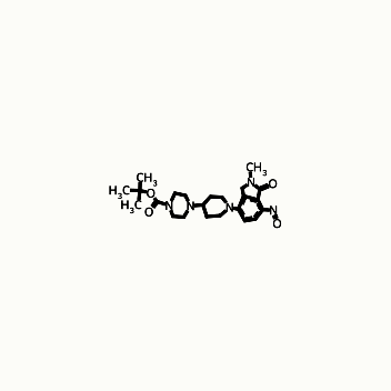 CN1Cc2c(N3CCC(N4CCN(C(=O)OC(C)(C)C)CC4)CC3)ccc(N=O)c2C1=O